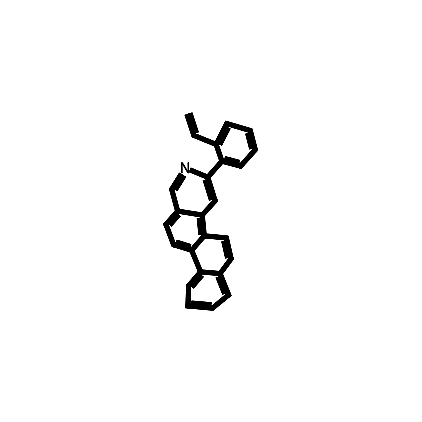 C=Cc1ccccc1-c1cc2c(ccc3c4ccccc4ccc23)cn1